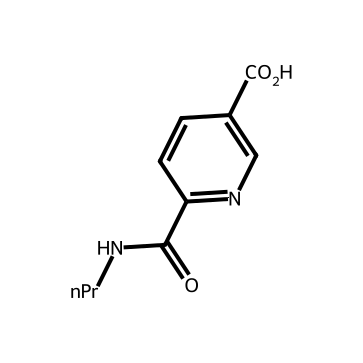 CCCNC(=O)c1ccc(C(=O)O)cn1